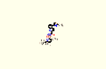 COc1ccc(C(C)(C)C(F)(F)F)nc1S(=O)(=O)NC(=O)c1ccc2c(-c3csc(C)n3)cccc2n1